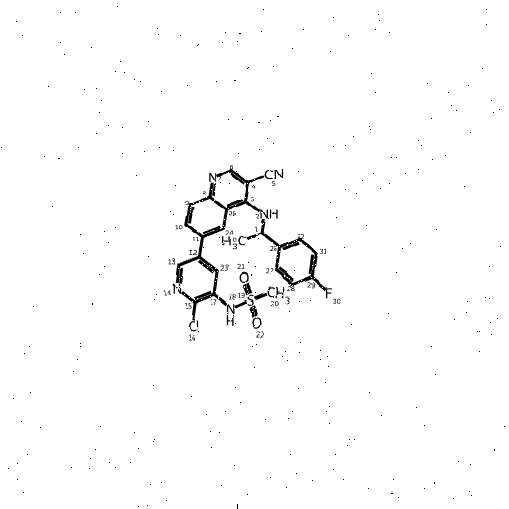 C[C@@H](Nc1c(C#N)cnc2ccc(-c3cnc(Cl)c(NS(C)(=O)=O)c3)cc12)c1ccc(F)cc1